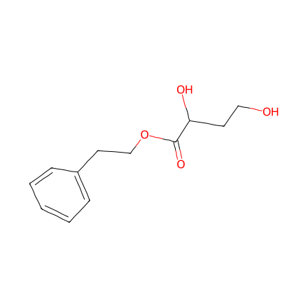 O=C(OCCc1ccccc1)C(O)CCO